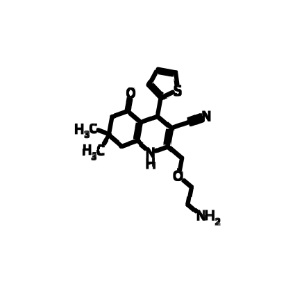 CC1(C)CC(=O)C2=C(C1)NC(COCCN)=C(C#N)C2c1cccs1